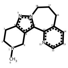 CN1CCc2nn3c(c2C1)-c1ncccc1CCC3